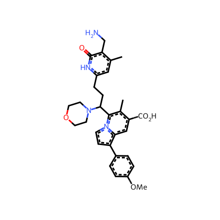 COc1ccc(-c2ccn3c(C(CCc4cc(C)c(CN)c(=O)[nH]4)N4CCOCC4)c(C)c(C(=O)O)cc23)cc1